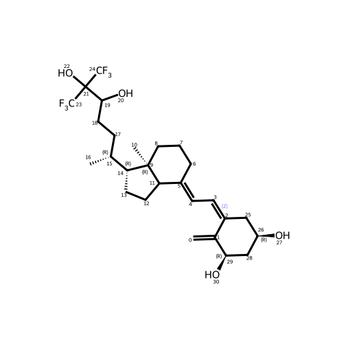 C=C1/C(=C\C=C2CCC[C@@]3(C)C2CC[C@@H]3[C@H](C)CCC(O)C(O)(C(F)(F)F)C(F)(F)F)C[C@@H](O)C[C@H]1O